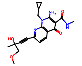 CNC(=O)c1c(N)n(CC2CC2)c2nc(C#CC(C)(O)COC)ccc2c1=O